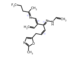 C=CN/N=C(\C=C/Cc1cnc(C)o1)C(/C=C)=C/N=C(\C)CCC(F)(F)F